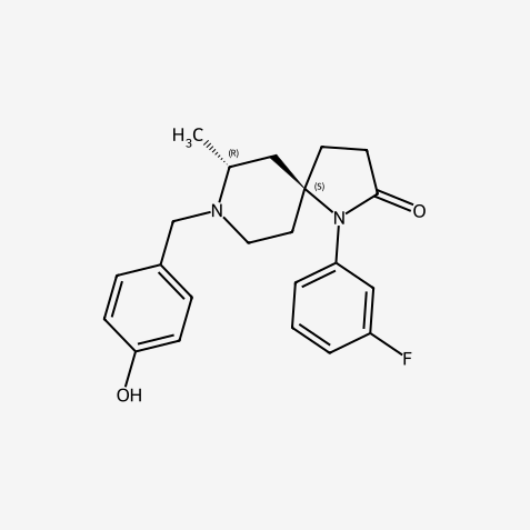 C[C@@H]1C[C@]2(CCC(=O)N2c2cccc(F)c2)CCN1Cc1ccc(O)cc1